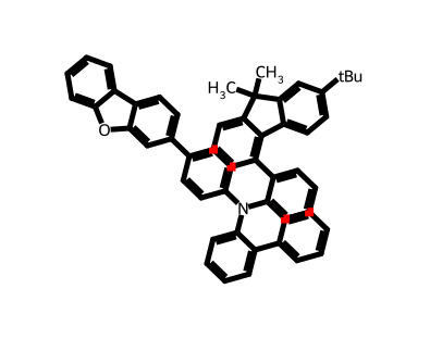 CC(C)(C)c1ccc2c(c1)C(C)(C)c1cccc(-c3ccccc3N(c3ccc(-c4ccc5c(c4)oc4ccccc45)cc3)c3ccccc3-c3ccccc3)c1-2